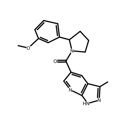 COc1cccc(C2CCCN2C(=O)c2cnc3[nH]nc(C)c3c2)c1